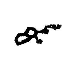 CCCc1c(NCC(=O)O)ccc2ccccc12